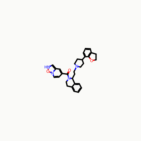 O=C(C1=CC2=CNON2C=C1)N1CCc2ccccc2C1CCN1CCC(c2cccc3c2OCC3)CC1